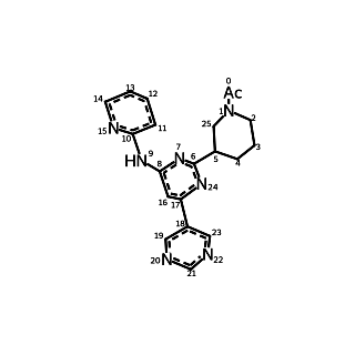 CC(=O)N1CCCC(c2nc(Nc3ccccn3)cc(-c3cncnc3)n2)C1